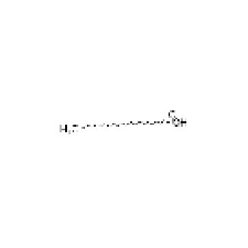 CCCCCCCCCCCCCCCCCCCCCCCC(=O)O